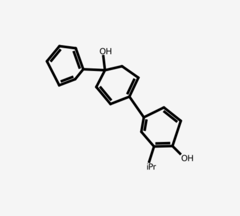 CC(C)c1cc(C2=CCC(O)(c3ccccc3)C=C2)ccc1O